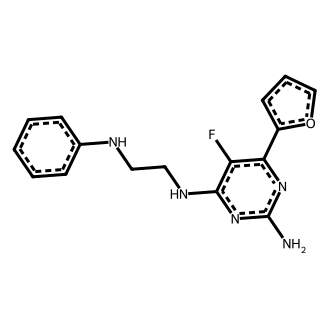 Nc1nc(NCCNc2ccccc2)c(F)c(-c2ccco2)n1